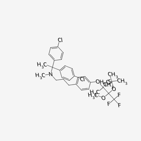 COC(O[Si](C)(C)C)(C(F)(F)F)C(C)(C)Oc1ccc(CCCN(C)C(C)(c2ccc(Cl)cc2)c2ccc(Cl)cc2)cc1